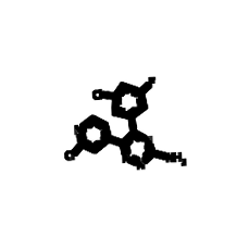 Nc1nnc(-c2ccnc(Cl)c2)c(-c2cc(F)cc(Cl)c2)n1